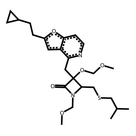 COCOC1(Cc2nccc3oc(CCC4CC4)cc23)C(=O)N(COC)C1CSCC(C)C